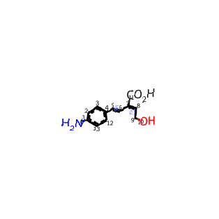 Nc1ccc(/C=C/C(=C\CO)C(=O)O)cc1